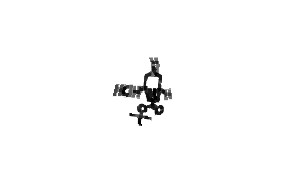 CC(C)(C)OC(=O)N1[C@@H]2CC[C@H]1CNC2.Cl